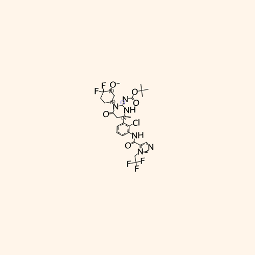 CO[C@H]1C[C@@H](N2C(=O)C[C@@](C)(c3cccc(NC(=O)c4cncn4CC(F)(F)F)c3Cl)N/C2=N\C(=O)OC(C)(C)C)CCC1(F)F